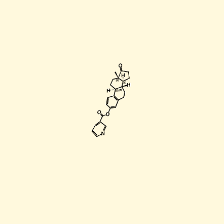 C[C@]12CC[C@@H]3c4ccc(OC(=O)c5cccnc5)cc4CC[C@H]3[C@@H]1CCC2=O